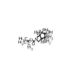 BC1(B)[C@@H](O)C(B)(B)[C@H]2CN(C(=O)OC(C)(C)C)C[C@H]21